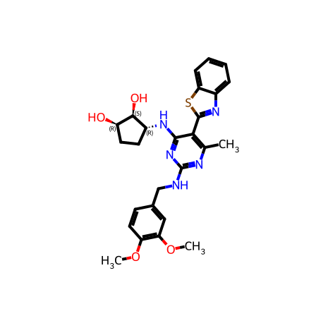 COc1ccc(CNc2nc(C)c(-c3nc4ccccc4s3)c(N[C@@H]3CC[C@@H](O)[C@H]3O)n2)cc1OC